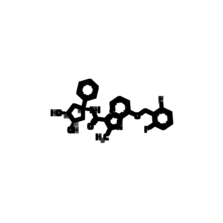 Cc1nc2c(OCc3c(F)cccc3F)cccn2c1C(=O)N[C@@]1(c2ccccc2)C[C@@H](O)[C@@H](O)C1